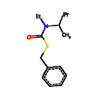 CCN(C(=O)SCc1ccccc1)C(C)C(C)C